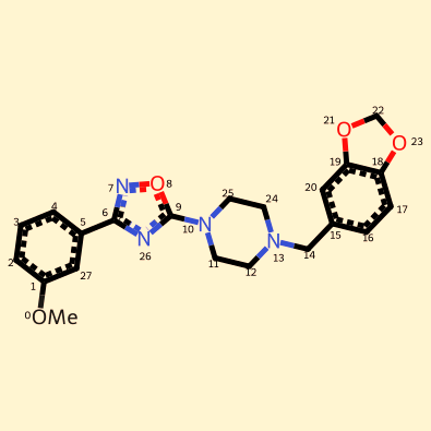 COc1cccc(-c2noc(N3CCN(Cc4ccc5c(c4)OCO5)CC3)n2)c1